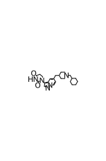 O=C1CCN(c2cnn3ccc(CC4CCN(CC5CCCCC5)CC4)cc23)C(=O)N1